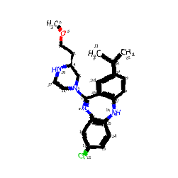 COCC[C@H]1CN(C2=Nc3cc(Cl)ccc3Nc3ccc(C(C)C)cc32)CCN1